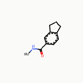 CC(C)(C)NC(=O)c1ccc2c(c1)CCC2